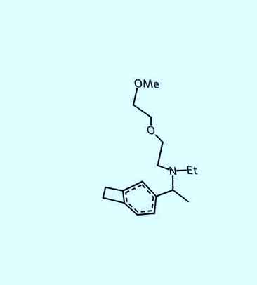 CCN(CCOCCOC)C(C)c1ccc2c(c1)CC2